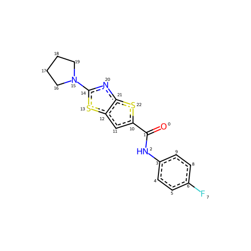 O=C(Nc1ccc(F)cc1)c1cc2sc(N3CCCC3)nc2s1